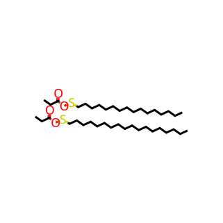 CCCCCCCCCCCCCCCCCCSOC(=O)CC.CCCCCCCCCCCCCCCCSOC(=O)CC